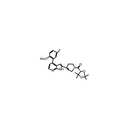 COc1ccc(F)cc1-c1ccnc2[nH]c(C3=CCN(C(=O)[C@H]4OC(C)(C)OC4(C)C)CC3)cc12